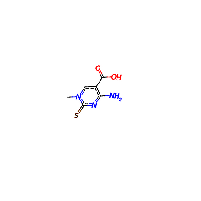 Cn1cc(C(=O)O)c(N)nc1=S